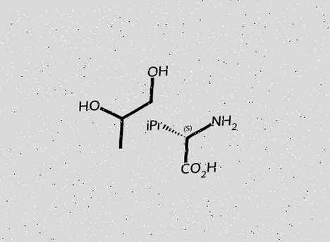 CC(C)[C@H](N)C(=O)O.CC(O)CO